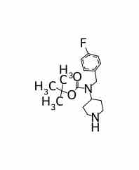 CC(C)(C)OC(=O)N(Cc1ccc(F)cc1)C1CCNCC1